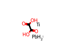 O=C(O)C(=O)O.[PbH2].[Ti]